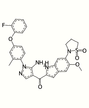 COc1cc2cc(C(=O)c3cnn(-c4ccc(Oc5ccccc5F)cc4C)c3N)[nH]c2cc1N1CCCS1(=O)=O